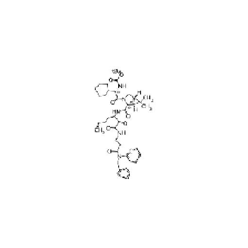 C=CCCC(NC(=O)[C@@H]1[C@@H]2[C@H](CN1C(=O)[C@@H](NC(=O)OC(C)(C)C)C1CCCCC1)C2(C)C)C(=O)C(=O)NCCC(=O)N(Cc1ccccc1)c1ccccc1